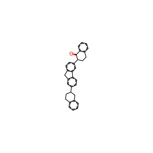 O=C1c2ccccc2CCC1c1ccc2c(c1)-c1ccc(C3CCc4ccccc4C3)cc1C2